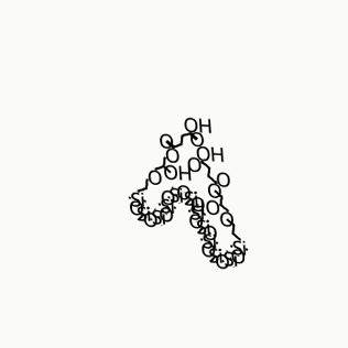 C[Si](C)(CCCOCC(O)COC(=O)CCC(=O)O)O[Si](C)(C)O[Si](C)(C)O[Si](C)(C)O[Si](C)(C)O[Si](C)(C)O[Si](C)(C)O[Si](C)(C)O[Si](C)(C)O[Si](C)(C)O[Si](C)(C)O[Si](C)(C)CCCOCC(O)COC(=O)CCC(=O)O